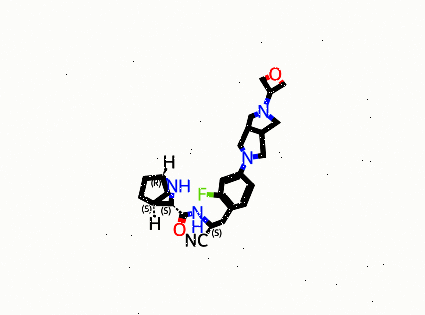 N#C[C@H](Cc1ccc(N2CC3CN(C4COC4)CC3C2)cc1F)NC(=O)[C@H]1N[C@@H]2CC[C@H]1C2